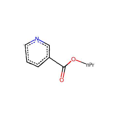 CCCOC(=O)c1cc[c]nc1